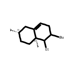 CCC(C)C1CC=C2C[C@@H](I)CC[C@]2(C)C1CC